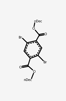 CCCCCCCCCCOC(=O)c1cc(Br)c(C(=O)OCCCCCCCCCC)cc1Br